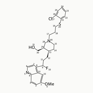 COc1ccc2nccc(C(F)CC[C@@H]3CCN(CCCSc4ccccc4Cl)C[C@@H]3CO)c2c1